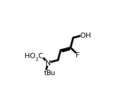 CC(C)(C)N(C/C=C(\F)CO)C(=O)O